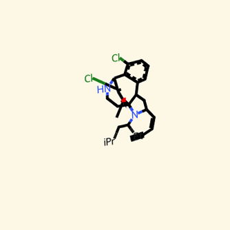 C#C/C=C\C1CC2c3cccc(Cl)c3C3NCCC2(/C(C)=C/C=C\3Cl)N1C(CC)CC(C)C